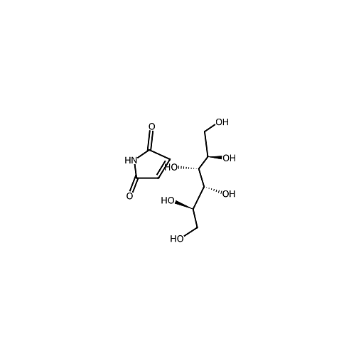 O=C1C=CC(=O)N1.OC[C@@H](O)[C@@H](O)[C@H](O)[C@H](O)CO